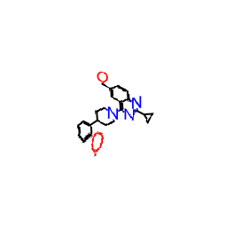 COc1ccccc1C1CCN(c2nc(C3CC3)nc3ccc(C=O)cc23)CC1